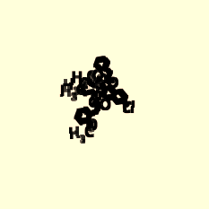 CCCOc1c(OCCC)c(OC(=O)Cc2ccccc2OC)c2cc(Cl)ccc2c1OC(=O)Cc1ccccc1OC